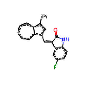 CC(C)c1cc(C=C2C(=O)Nc3ccc(F)cc32)c2cccccc1-2